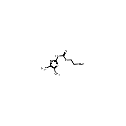 COCCOC(=O)Nc1nc(C)c(C)s1